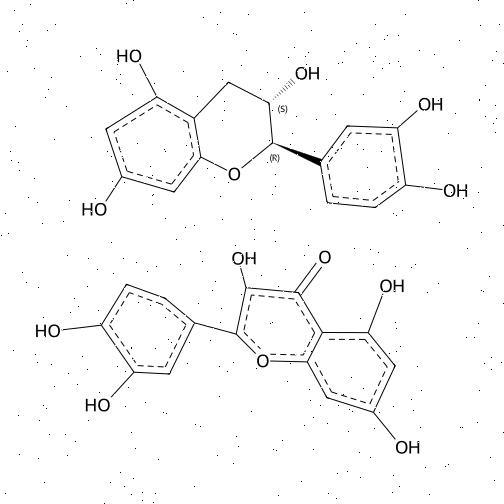 O=c1c(O)c(-c2ccc(O)c(O)c2)oc2cc(O)cc(O)c12.Oc1cc(O)c2c(c1)O[C@H](c1ccc(O)c(O)c1)[C@@H](O)C2